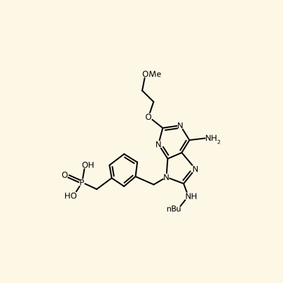 CCCCNc1nc2c(N)nc(OCCOC)nc2n1Cc1cccc(CP(=O)(O)O)c1